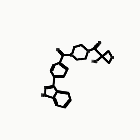 O=C(c1ccc(-c2n[nH]c3ccccc23)cc1)N1CCN(C(=O)C2(O)COC2)CC1